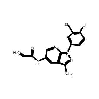 C=CC(=O)Nc1cnc2c(c1)c(C)nn2-c1ccc(Cl)c(Cl)c1